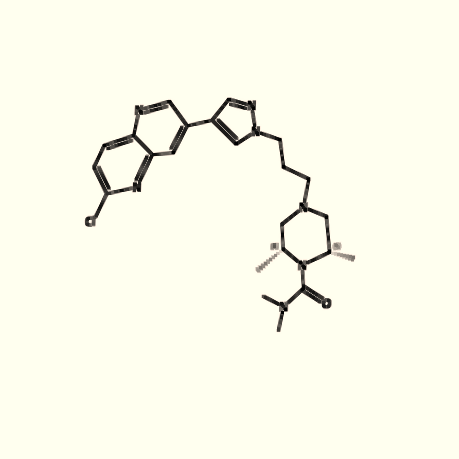 C[C@@H]1CN(CCCn2cc(-c3cnc4ccc(Cl)nc4c3)cn2)C[C@H](C)N1C(=O)N(C)C